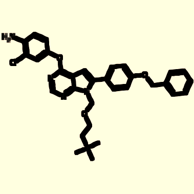 C[Si](C)(C)CCOCn1c(-c2ccc(OCc3ccccc3)cc2)cc2c(Oc3ccc(N)c(Cl)c3)ncnc21